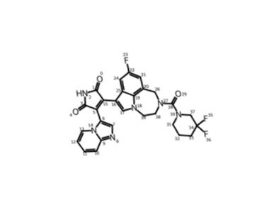 O=C1NC(=O)C(c2cnc3ccccn23)=C1c1cn2c3c(cc(F)cc13)CN(C(=O)N1CCCC(F)(F)C1)CC2